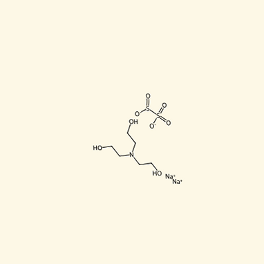 O=S([O-])S(=O)(=O)[O-].OCCN(CCO)CCO.[Na+].[Na+]